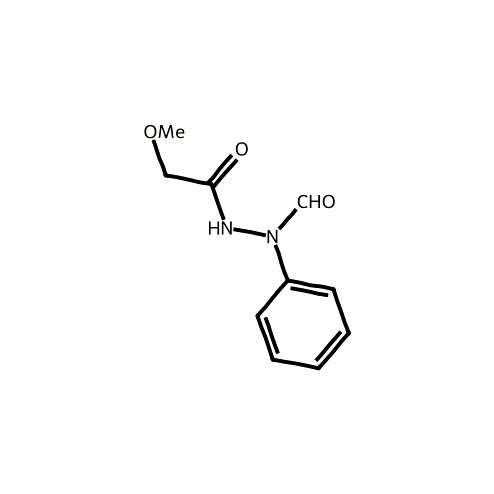 COCC(=O)NN(C=O)c1ccccc1